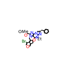 CCN1C(=O)c2c(nc(C(=O)OC)n2CC2=C3C(Br)=COC=C3CC2)N2C[C@@H](Cc3ccccc3)N=C12